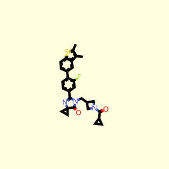 Cc1sc2ccc(-c3ccc(C4=NC5(CC5)C(=O)N4CC4CN(C(=O)C5CC5)C4)cc3F)cc2c1C